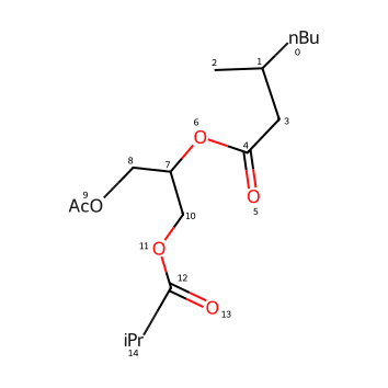 CCCCC(C)CC(=O)OC(COC(C)=O)COC(=O)C(C)C